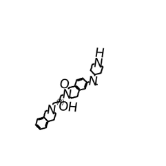 CN(c1ccc2c(c1)CCN(C[C@H](O)CN1CCc3ccccc3C1)C2=O)C1CCNCC1